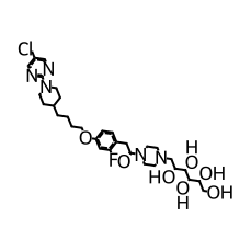 O=C(Cc1ccc(OCCCCC2CCN(c3ncc(Cl)cn3)CC2)cc1F)N1CCN(C[C@H](O)[C@@H](O)[C@H](O)[C@H](O)CO)CC1